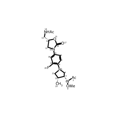 CON(C(C)=O)[C@H]1CN(c2ccc(N3C[C@H](CNC(C)=O)OC3=O)cc2F)C[C@H]1C